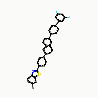 Cc1ccc2nc(-c3ccc(-c4ccc5cc(-c6ccc(-c7cc(F)cc(F)c7)cc6)ccc5c4)cc3)sc2c1